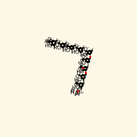 O.O.O.O=C([O-])c1cc(I)cc(I)c1O.O=C([O-])c1cc(I)cc(I)c1O.O=C([O-])c1cc(I)cc(I)c1O.O=C([O-])c1cc(I)cc(I)c1O.O=C([O-])c1cc(I)cc(I)c1O.O=C([O-])c1cc(I)cc(I)c1O.O=C([O-])c1cc(I)cc(I)c1O.O=C([O-])c1cc(I)cc(I)c1O.O=C([O-])c1cc(I)cc(I)c1O.[Al+3].[Al+3].[Al+3]